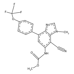 COC(=O)Nc1cc(-c2ccc(OC(F)(F)F)cc2)c2ncn(C)c2c1C#N